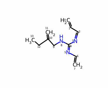 C=C/C=N\C(=N/C=C)NCC(=C)CC